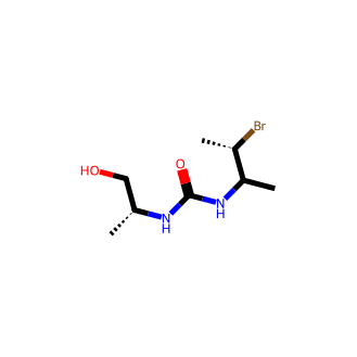 CC(NC(=O)N[C@H](C)CO)[C@H](C)Br